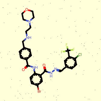 O=C(Nc1ccc(Br)cc1C(=O)NN=Cc1ccc(Cl)c(C(F)(F)F)c1)c1ccc(CNCCN2CCOCC2)cc1